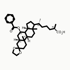 C[C@H](CCC[C@@H](C)C1CC[C@H]2C3[C@H](OC(=O)c4ccccc4)C[C@H]4CC5(CCC4(C)[C@H]3CCC12C)OCCO5)C(=O)O